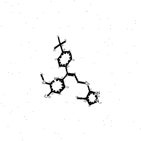 COc1nc(/C(=C\COc2[nH]ncc2C)c2ccc(C(C)(C)C)cc2)ccc1Cl